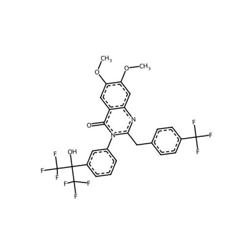 COc1cc2nc(Cc3ccc(C(F)(F)F)cc3)n(-c3cccc(C(O)(C(F)(F)F)C(F)(F)F)c3)c(=O)c2cc1OC